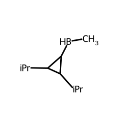 CBC1C(C(C)C)C1C(C)C